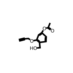 C#CCOc1cc(OC(C)=O)ccc1CO